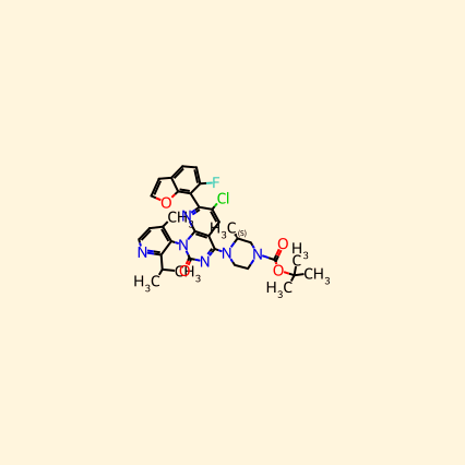 Cc1ccnc(C(C)C)c1-n1c(=O)nc(N2CCN(C(=O)OC(C)(C)C)C[C@@H]2C)c2cc(Cl)c(-c3c(F)ccc4ccoc34)nc21